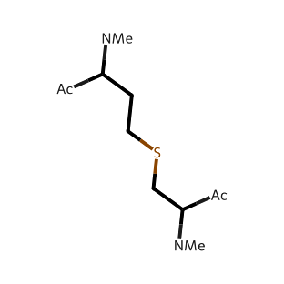 CNC(CCSCC(NC)C(C)=O)C(C)=O